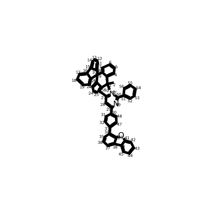 CC1(C)c2ccccc2C2(c3ccccc3-c3ccccc32)c2cccc(-c3cc(-c4ccc(-c5cccc6c5oc5ccccc56)cc4)nc(-c4ccccc4)n3)c21